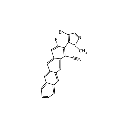 Cn1ncc(Br)c1-c1c(F)cc2cc3cc4ccccc4cc3cc2c1C#N